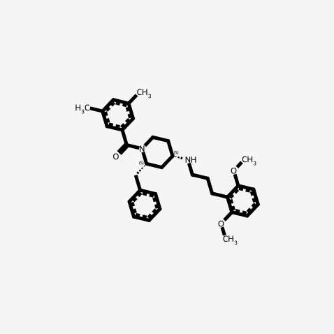 COc1cccc(OC)c1CCCN[C@H]1CCN(C(=O)c2cc(C)cc(C)c2)[C@@H](Cc2ccccc2)C1